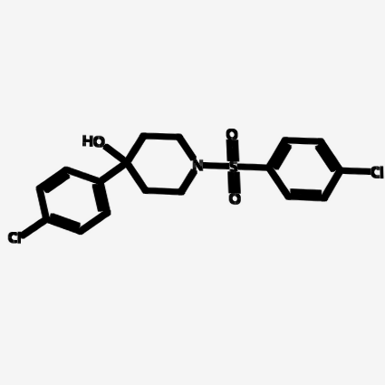 O=S(=O)(c1ccc(Cl)cc1)N1CCC(O)(c2ccc(Cl)cc2)CC1